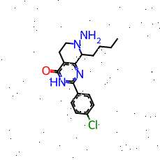 CCCCC1c2nc(-c3ccc(Cl)cc3)[nH]c(=O)c2CCN1N